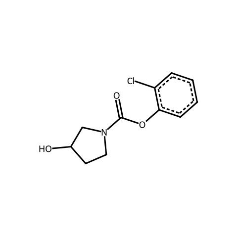 O=C(Oc1ccccc1Cl)N1CCC(O)C1